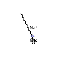 CCCCCCCCCCCCC/C=C/OS(=O)(=O)[O-].[Na+]